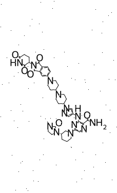 CN1CCN([C@H]2CCCN(c3cnc(C(N)=O)c(Nc4cnn(C5CCN(C6CCN(c7ccc8c(c7)C(=O)N(C7CCC(=O)NC7=O)C8=O)CC6)CC5)c4)n3)C2)C1=O